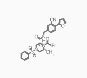 CC(C)C(=O)N1[C@H](C)CN(S(=O)(=O)c2ccccc2)C[C@@H]1C(=O)NCc1ccc(-c2ccco2)c(C#N)c1